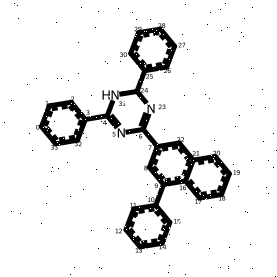 c1ccc(C2=NC(c3cc(-c4ccccc4)c4ccccc4c3)=NC(c3ccccc3)N2)cc1